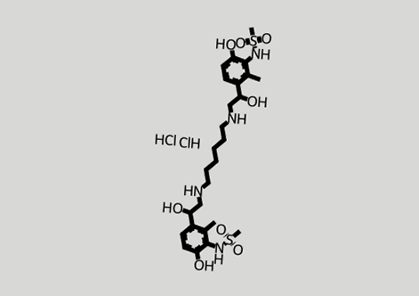 Cc1c(C(O)CNCCCCCCNCC(O)c2ccc(O)c(NS(C)(=O)=O)c2C)ccc(O)c1NS(C)(=O)=O.Cl.Cl